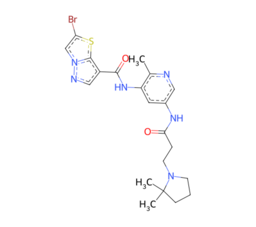 Cc1ncc(NC(=O)CCN2CCCC2(C)C)cc1NC(=O)c1cnn2cc(Br)sc12